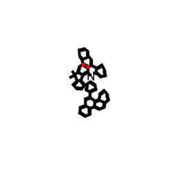 CC1(C)c2ccccc2-c2c(N(c3ccc(-c4cc5ccccc5c5ccc6ccccc6c45)cc3)c3ccccc3-c3ccc4ccccc4c3)cccc21